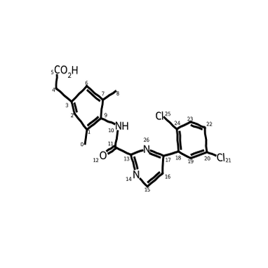 Cc1cc(CC(=O)O)cc(C)c1NC(=O)c1nccc(-c2cc(Cl)ccc2Cl)n1